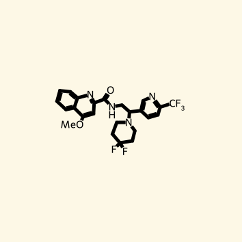 COc1cc(C(=O)NCC(c2ccc(C(F)(F)F)nc2)N2CCC(F)(F)CC2)nc2ccccc12